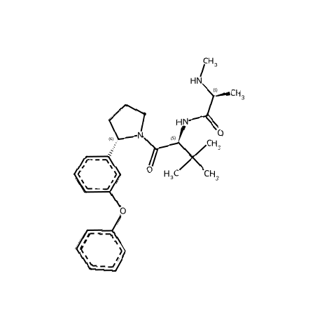 CN[C@@H](C)C(=O)N[C@H](C(=O)N1CCC[C@H]1c1cccc(Oc2ccccc2)c1)C(C)(C)C